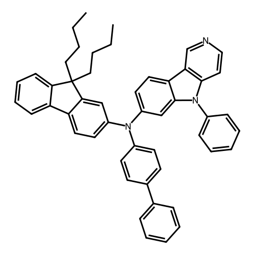 CCCCC1(CCCC)c2ccccc2-c2ccc(N(c3ccc(-c4ccccc4)cc3)c3ccc4c5cnccc5n(-c5ccccc5)c4c3)cc21